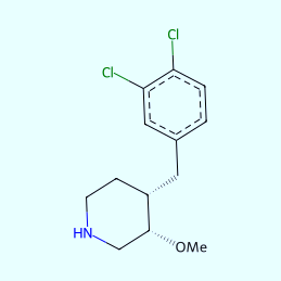 CO[C@@H]1CNCC[C@@H]1Cc1ccc(Cl)c(Cl)c1